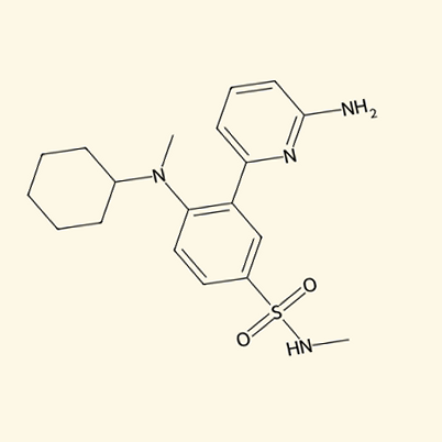 CNS(=O)(=O)c1ccc(N(C)C2CCCCC2)c(-c2cccc(N)n2)c1